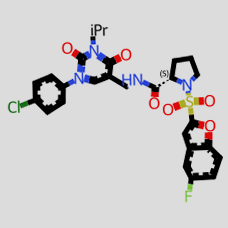 CC(C)n1c(=O)c(CNC(=O)[C@@H]2CCCN2S(=O)(=O)c2cc3cc(F)ccc3o2)cn(-c2ccc(Cl)cc2)c1=O